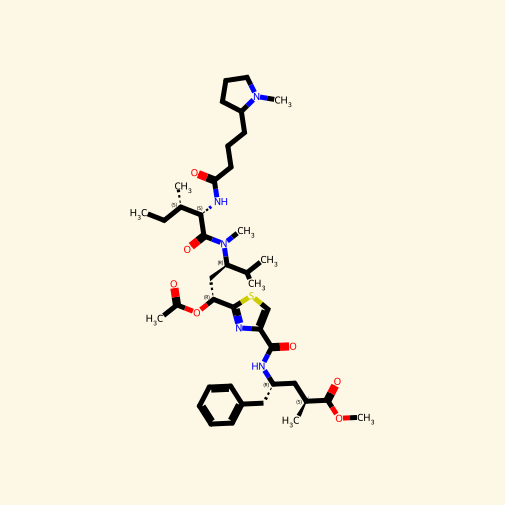 CC[C@H](C)[C@H](NC(=O)CCCC1CCCN1C)C(=O)N(C)[C@H](C[C@@H](OC(C)=O)c1nc(C(=O)N[C@@H](Cc2ccccc2)C[C@H](C)C(=O)OC)cs1)C(C)C